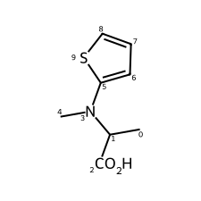 CC(C(=O)O)N(C)c1cccs1